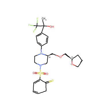 CC(O)(c1ccc(N2CCN(S(=O)(=O)C3=CC=CCC3=S)C[C@@H]2COC[C@H]2CCCO2)cc1)C(F)(F)F